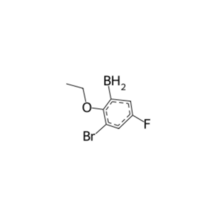 Bc1cc(F)cc(Br)c1OCC